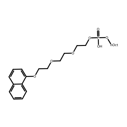 CCCCCCCCOP(=O)(O)OCCOCCOCCOc1cccc2ccccc12